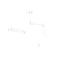 CN(N=N)/N=C\I